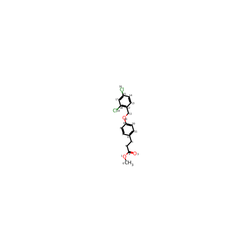 COC(=O)CCc1ccc(OCc2ccc(Cl)cc2Cl)cc1